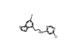 Fc1cc(CCNc2cc(Cl)ncn2)c2ccsc2c1